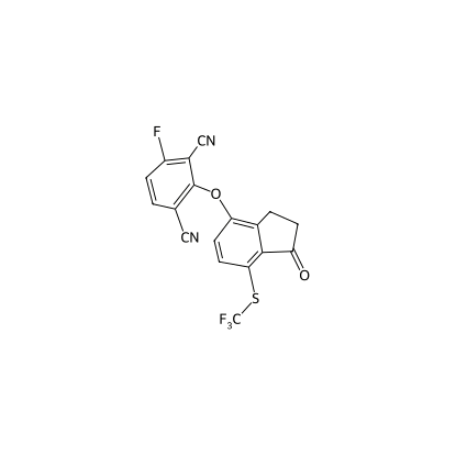 N#Cc1ccc(F)c(C#N)c1Oc1ccc(SC(F)(F)F)c2c1CCC2=O